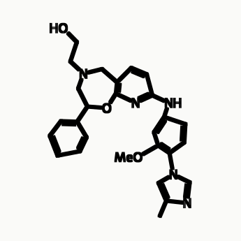 COc1cc(Nc2ccc3c(n2)OC(c2ccccc2)CN(CCO)C3)ccc1-n1cnc(C)c1